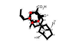 C/C=C\c1nc(C(=O)O)c(=O)n([C@H]2C[C@H]3CC[C@@H](C2)N3C2CC3CCCC(C3)C2)c1C